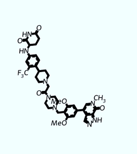 COc1cc(-c2cn(C)c(=O)c3[nH]ncc23)cc(OC)c1CN1CCN(C(=O)CN2CCC(c3ccc(NC4CCC(=O)NC4=O)cc3C(F)(F)F)CC2)CC1